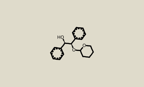 O[C@H](c1ccccc1)[C@H](OC1CCCCO1)c1ccccc1